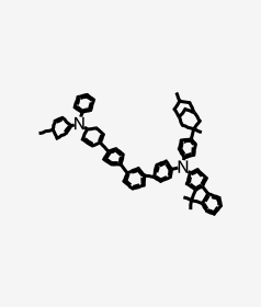 CC1C=CC(N(c2ccccc2)C2C=CC(c3ccc(-c4cccc(-c5ccc(N(c6ccc(C7(C)CC8CC(C)CC(C8)C7)cc6)c6ccc7c(c6)C(C)(C)c6ccccc6-7)cc5)c4)cc3)=CC2)=CC1